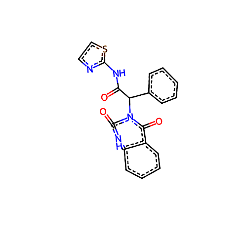 O=C(Nc1nccs1)C(c1ccccc1)n1c(=O)[nH]c2ccccc2c1=O